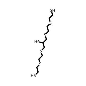 SCCSCCSCC(S)CSCCSCCS